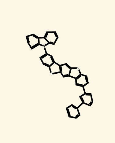 c1ccc(-c2cccc(-c3ccc4sc5cc6c(cc5c4c3)sc3ccc(-n4c5ccccc5c5ccccc54)cc36)c2)cc1